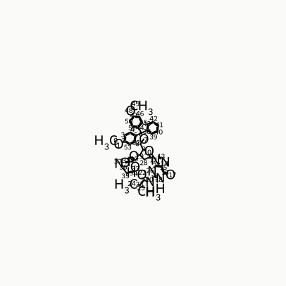 COc1ccc(C(OCC2OC(n3cnc4c(=O)[nH]c(NC(=O)C(C)C)nc43)CC2O[PH](=O)OCCC#N)(c2ccccc2)c2ccc(OC)cc2)cc1